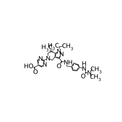 CC(C)n1nc(C(=O)NCc2ccc(NC(=O)N(C)C)cc2)c2c1[C@@H](C)CN(c1ncc(C(=O)O)cn1)C2